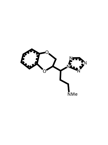 CNCCC(C1COc2ccccc2O1)n1ncnn1